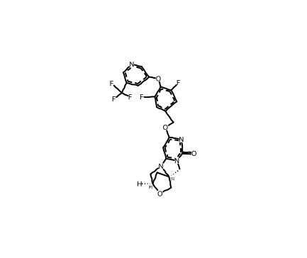 O=c1nc(OCc2cc(F)c(Oc3cncc(C(F)(F)F)c3)c(F)c2)cc2n1C[C@@]13CO[C@@H](CN21)C3